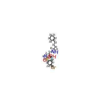 CN(C[C@H](O)CNC(C)(C)CCCc1ccccc1)S(=O)(=O)c1ccc(Br)cc1F